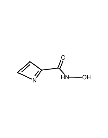 O=C(NO)C1=NC=C1